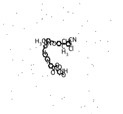 CN1CC=C(COc2ccc(C(C)(C)c3cc(Cl)cc(C#N)c3)cc2)N=C1N1CC(CN2CCC3(CC2)CCN(c2ccc4c(c2)C(=O)N(C2CCC(=O)NC2=O)C4=O)CC3)C1